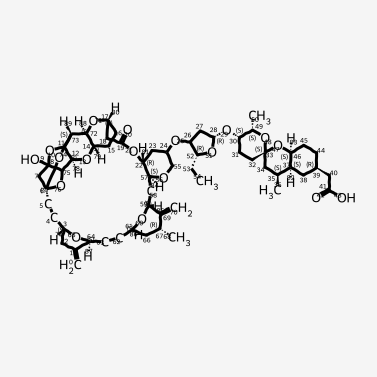 C=C1C[C@@H]2CC[C@]34CC5(O)OC6[C@@H](O[C@H]7CC[C@H](CC(=O)O[C@@H]8CC(OC9C[C@H](O[C@H]%10CC[C@@]%11(C[C@H](C)[C@@H]%12C[C@H](CC(=O)O)CC[C@@H]%12O%11)O[C@H]%10C)O[C@@H]9CC)CO[C@H]8C[C@H]8O[C@@H](CC[C@@H]1O2)C[C@@H](C)C8=C)O[C@@H]7[C@@H]6O3)C5O4